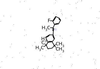 C/C(=C\c1ccc2c(c1)C(C)(C)CCC2(C)C)c1ccccc1F